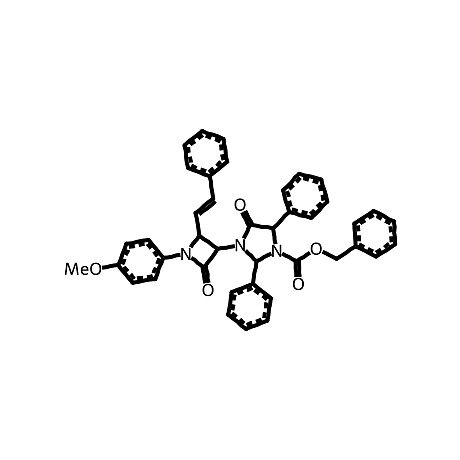 COc1ccc(N2C(=O)C(N3C(=O)C(c4ccccc4)N(C(=O)OCc4ccccc4)C3c3ccccc3)C2C=Cc2ccccc2)cc1